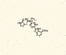 COc1cccc2cc(C(=O)N[C@@H](CC(C)C)C(=O)N[C@H](C#N)C[C@@H]3CCNC3=O)[nH]c12